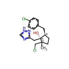 C[C@]1(CCl)CC[C@H](Cc2ccc(Cl)cc2)[C@]1(O)Cc1nc[nH]n1